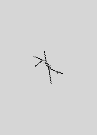 CCCCCCCCCCCCCCN(CCCCCCCC(=O)OCCCCC)CC(=O)N1CCN(C(=O)CN(CCCCCCCCC)CCN(CCCCCCCCC)CCCCCCCCC)CC1